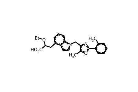 CCOC(Cc1cccc2c1ccn2Cc1nc(-c2ccccc2C)oc1C)C(=O)O